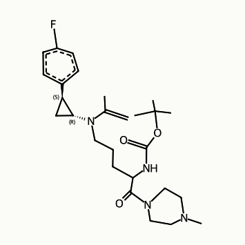 C=C(C)N(CCCC(NC(=O)OC(C)(C)C)C(=O)N1CCN(C)CC1)[C@@H]1C[C@H]1c1ccc(F)cc1